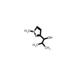 CC(C)C(O)c1ccn(C)n1